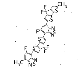 Cc1cc2c(s1)-c1sc(-c3cc(F)c(-c4cc5c(s4)-c4sc(-c6c(F)cc(C)c7nsnc67)cc4C5(F)F)c4nsnc34)cc1C2(F)F